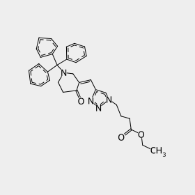 CCOC(=O)CCCn1cc(/C=C2/CN(C(c3ccccc3)(c3ccccc3)c3ccccc3)CCC2=O)nn1